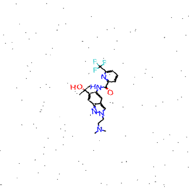 CN(C)CCn1cc2cc(NC(=O)c3cccc(C(F)(F)F)n3)c(C(C)(C)O)cc2n1